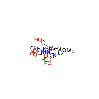 COc1ccc(C[N+]2(C)CCC[C@H](N(C(=O)Nc3ccc(OS(=O)(=O)CC(F)(F)F)cc3)C(=O)[C@@H](N)Cc3ccc(O)cc3)C2)cc1OC.O=C([O-])C(F)(F)F